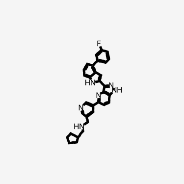 Fc1cccc(-c2cccc3[nH]c(-c4n[nH]c5ccc(-c6cncc(CNCC7CCCC7)c6)nc45)cc23)c1